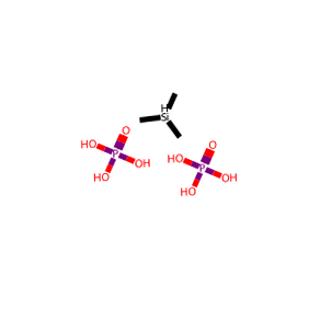 C[SiH](C)C.O=P(O)(O)O.O=P(O)(O)O